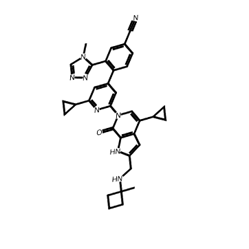 Cn1cnnc1-c1cc(C#N)ccc1-c1cc(C2CC2)nc(-n2cc(C3CC3)c3cc(CNC4(C)CCC4)[nH]c3c2=O)c1